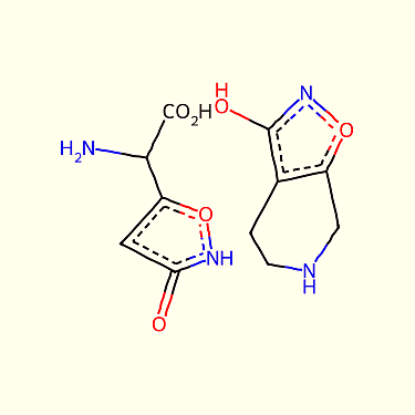 NC(C(=O)O)c1cc(=O)[nH]o1.Oc1noc2c1CCNC2